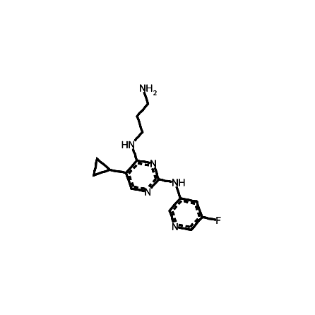 NCCCNc1nc(Nc2cncc(F)c2)ncc1C1CC1